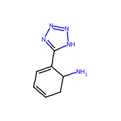 NC1CC=CC=C1c1nnn[nH]1